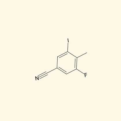 Cc1c(F)cc(C#N)cc1I